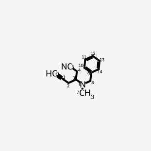 C#CCC(CC#N)N(C)Cc1ccccc1